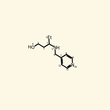 CCC(CCO)NCc1ccncc1